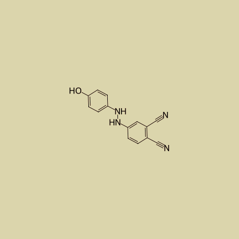 N#Cc1ccc(NNc2ccc(O)cc2)cc1C#N